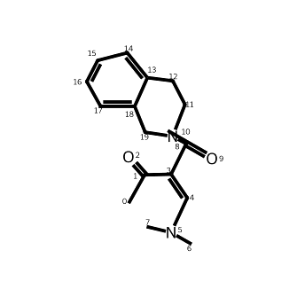 CC(=O)C(=CN(C)C)C(=O)N1CCc2ccccc2C1